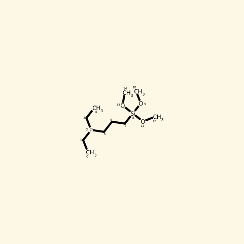 CCP(CC)CCC[Si](OC)(OC)OC